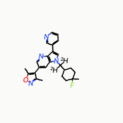 [2H]C([2H])(C1CCC(C)(F)CC1)n1cc(-c2cccnc2)c2ncc(-c3c(C)noc3C)cc21